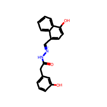 O=C(Cc1cccc(O)c1)N/N=C/c1ccc(O)c2ccccc12